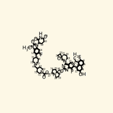 CCc1c(F)ccc2cc(O)cc(-c3ncc4c(N5CCC[C@@]6(CCO6)C5)nc(OC[C@@]56CCCN5[C@H](COC(=O)N5CCC(CN7CCC(c8cc9c(cc8F)n(C8CCC(=O)NC8=O)c(=O)n9C)CC7)CC5)CC6)nc4c3F)c12